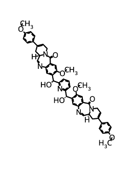 COc1ccc(C2=CCN3C(=O)c4cc(OC)c([C@H](O)c5cccc([C@@H](O)c6cc7c(cc6OC)C(=O)N6CC=C(c8ccc(OC)cc8)C[C@H]6C=N7)n5)cc4N=C[C@@H]3C2)cc1